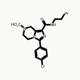 CC(C)CCNC(=O)c1nc(-c2ccc(Cl)cc2)n2c1CN(C(=O)O)CC2